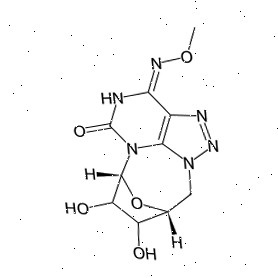 CO/N=c1/[nH]c(=O)n2c3c1nnn3C[C@H]1O[C@@H]2C(O)C1O